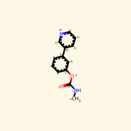 CNC(=O)Oc1cccc(-c2cccnc2)c1